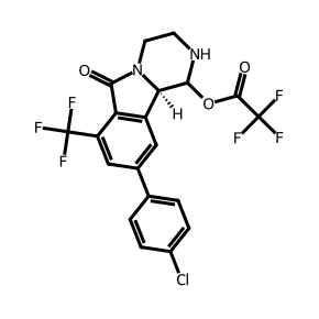 O=C1c2c(cc(-c3ccc(Cl)cc3)cc2C(F)(F)F)[C@@H]2C(OC(=O)C(F)(F)F)NCCN12